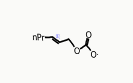 CCC/C=C/COC([O])=O